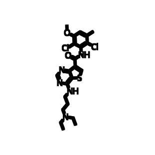 CCN(CC)CCCNc1ncnc2c(C(=O)Nc3c(Cl)c(C)cc(OC)c3Cl)csc12